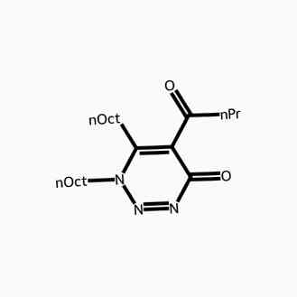 CCCCCCCCc1c(C(=O)CCC)c(=O)nnn1CCCCCCCC